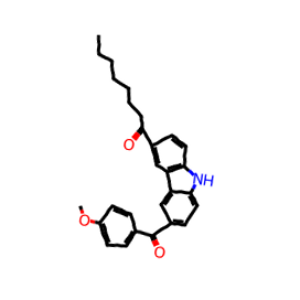 CCCCCCCC(=O)c1ccc2[nH]c3ccc(C(=O)c4ccc(OC)cc4)cc3c2c1